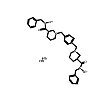 Br.Br.CCCN(Cc1ccccc1)C(=O)C1CCCN(Cc2ccc(CN3CCCC(C(=O)N(CCC)Cc4ccccc4)C3)cc2)C1